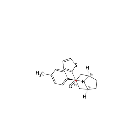 Cc1ccc([C@H]2C[C@H]3CC[C@@H](C2)N3C(=O)c2cccs2)cc1